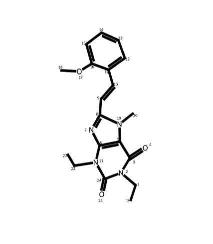 CCn1c(=O)c2c(nc(/C=C/c3ccccc3OC)n2C)n(CC)c1=O